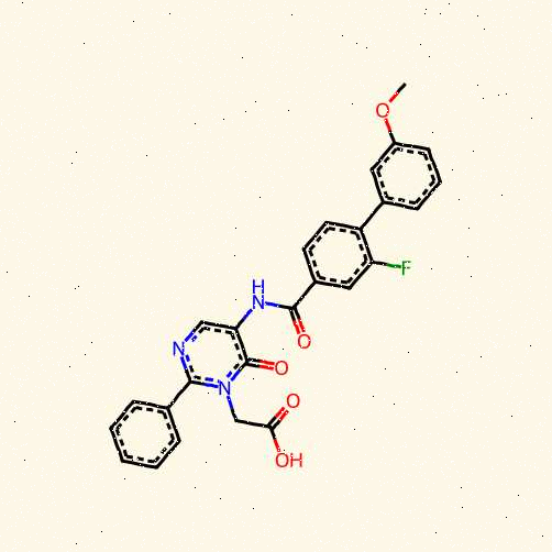 COc1cccc(-c2ccc(C(=O)Nc3cnc(-c4ccccc4)n(CC(=O)O)c3=O)cc2F)c1